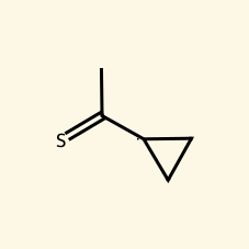 CC(=S)[C]1CC1